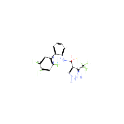 Cn1cc(C(=O)Nc2ccccc2-c2cc(F)c(F)cc2F)c(C(F)(F)F)n1